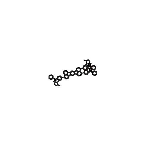 CC1CCC2(C)C1c1cc(-c3ccc4c5cc6c(cc5c5cccc3c54)c3ccc(-c4ccc5c(c4)C4C(C)CCC4(C)N5c4ccccc4)c4c(-c5ccc7c(c5)C5C(C)CCC5(C)N7c5ccccc5)ccc6c43)ccc1N2c1ccccc1